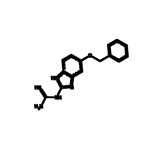 N=C(N)Nc1nc2cc(OCc3ccccc3)ccc2[nH]1